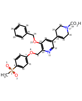 CS(=O)(=O)c1ccc(OCc2ncc(C3=CCN(C(=O)O)CC3)cc2OCc2ccccc2)cc1